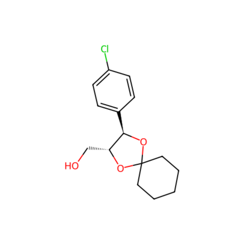 OC[C@H]1OC2(CCCCC2)O[C@@H]1c1ccc(Cl)cc1